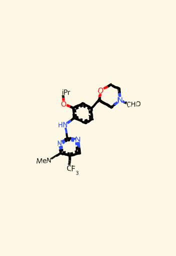 CNc1nc(Nc2ccc(C3CN(C=O)CCO3)cc2OC(C)C)ncc1C(F)(F)F